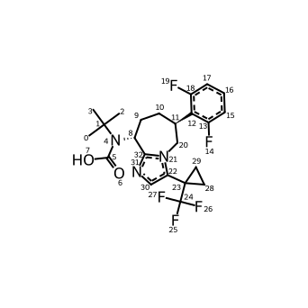 CC(C)(C)N(C(=O)O)[C@@H]1CC[C@@H](c2c(F)cccc2F)Cn2c(C3(C(F)(F)F)CC3)cnc21